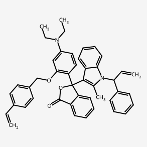 C=Cc1ccc(COc2cc(N(CC)CC)ccc2C2(c3c(C)n(C(C=C)c4ccccc4)c4ccccc34)OC(=O)c3ccccc32)cc1